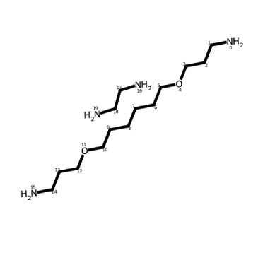 NCCCOCCCCCCOCCCN.NCCN